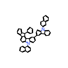 c1ccc(C2c3ccccc3-c3ccc4c(c32)c2cc(-c3ccc5c(c3)c3ccccc3n5-c3ccc5ccccc5c3)ccc2n4-c2cccc3ccccc23)cc1